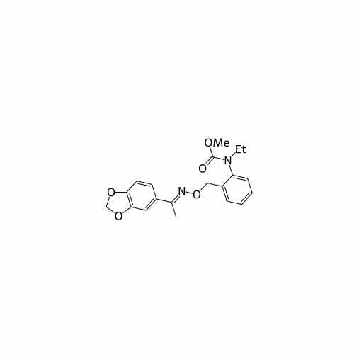 CCN(C(=O)OC)c1ccccc1CON=C(C)c1ccc2c(c1)OCO2